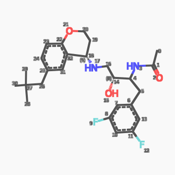 CC(=O)NC(Cc1cc(F)cc(F)c1)[C@H](O)CN[C@H]1CCOc2ccc(CC(C)(C)C)cc21